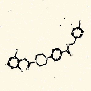 O=C(NCc1ccc(F)cc1)c1ccc(N2CCN(C(=O)Cc3c(Cl)cccc3Cl)CC2)cc1